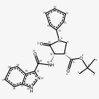 CC(C)(C)OC(=O)[C@H]1CN(c2ccccc2)C(=O)[C@H]1NC(=O)c1n[nH]c2ccccc12